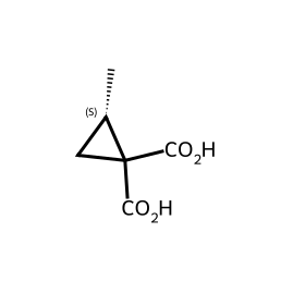 C[C@H]1CC1(C(=O)O)C(=O)O